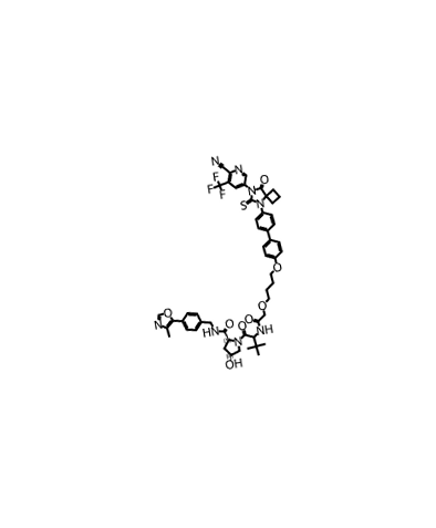 Cc1ncoc1-c1ccc(CNC(=O)[C@@H]2C[C@@H](O)CN2C(=O)C(NC(=O)COCCCCOc2ccc(-c3ccc(N4C(=S)N(c5cnc(C#N)c(C(F)(F)F)c5)C(=O)C45CCC5)cc3)cc2)C(C)(C)C)cc1